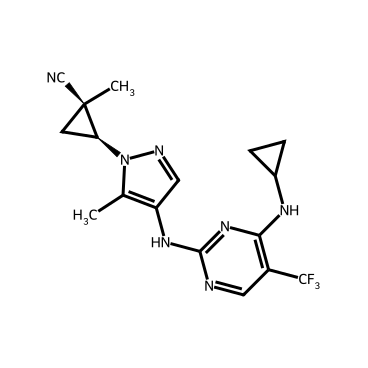 Cc1c(Nc2ncc(C(F)(F)F)c(NC3CC3)n2)cnn1[C@H]1C[C@@]1(C)C#N